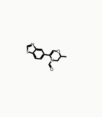 CC1CN(C=O)C(c2ccc3scnc3c2)=CO1